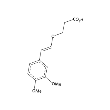 COc1ccc(C=COCCC(=O)O)cc1OC